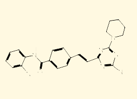 Nc1nc(C=Cc2ccc(C(=O)Nc3ccccc3N)cc2)nc(N2CCCCC2)n1